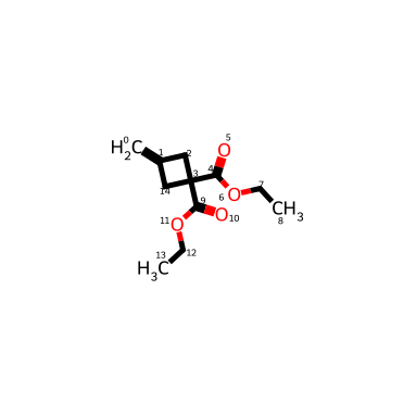 C=C1CC(C(=O)OCC)(C(=O)OCC)C1